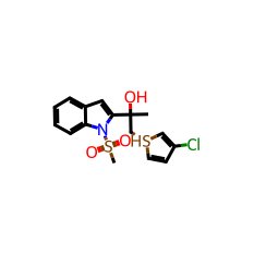 CC(O)(C[SH]1C=CC(Cl)=C1)c1cc2ccccc2n1S(C)(=O)=O